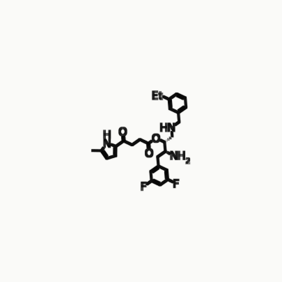 CCc1cccc(CNC[C@@H](OC(=O)CCC(=O)c2ccc(C)[nH]2)[C@@H](N)Cc2cc(F)cc(F)c2)c1